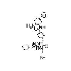 CN(C)CCNC(=O)[C@H](Cc1ccc(C(=O)Nc2cc(-c3ccco3)ccc2N)cc1)NC(=O)OCc1ccccc1